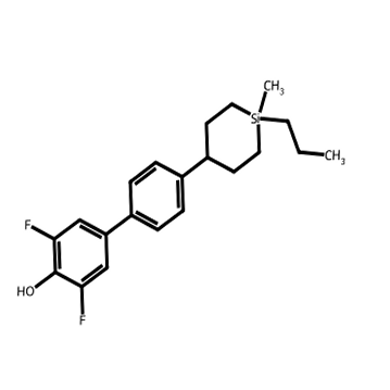 CCC[Si]1(C)CCC(c2ccc(-c3cc(F)c(O)c(F)c3)cc2)CC1